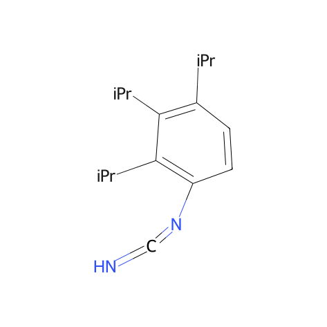 CC(C)c1ccc(N=C=N)c(C(C)C)c1C(C)C